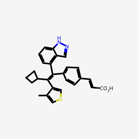 Cc1cscc1/C(=C(\c1ccc(/C=C/C(=O)O)cc1)c1cccc2[nH]ncc12)C1CCC1